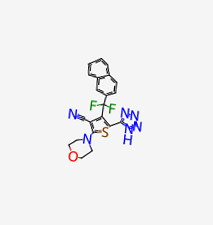 N#Cc1c(N2CCOCC2)sc(-c2nnn[nH]2)c1C(F)(F)c1ccc2ccccc2c1